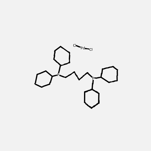 C1CCC(P(CCCCP(C2CCCCC2)C2CCCCC2)C2CCCCC2)CC1.[Cl][Pd][Cl]